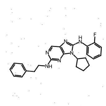 Fc1ccccc1Nc1nc2cnc(NCCc3ccccc3)nc2n1C1CCCC1